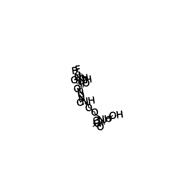 CC(C)(C)OC(=O)[C@H](Cc1ccc(O)cc1)NC(=O)CCOCCOCCNC(=O)N1CCN(C(=O)C[C@@H]2C[C@@H](C(=O)N3CC(F)(F)C[C@H]3C#N)NC2=O)CC1